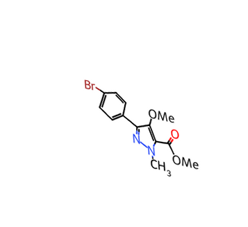 COC(=O)c1c(OC)c(-c2ccc(Br)cc2)nn1C